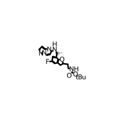 C[C@@H](Nc1ccn2nccc2n1)c1cc(F)cc2c1OC(CCNC(=O)OC(C)(C)C)C2